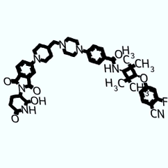 CC1(C)[C@H](NC(=O)c2ccc(N3CCN(CC4CCN(c5ccc6c(c5)C(=O)N(C5CCC(=O)NC5O)C6=O)CC4)CC3)cc2)C(C)(C)[C@H]1Oc1ccc(C#N)c(F)c1